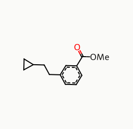 COC(=O)c1cccc(CCC2CC2)c1